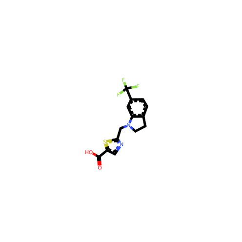 O=C(O)c1cnc(CN2CCc3ccc(C(F)(F)F)cc32)s1